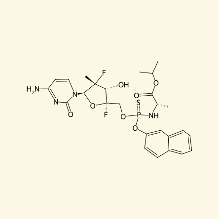 CC(C)OC(=O)[C@H](C)NP(=S)(OC[C@@]1(F)O[C@@H](n2ccc(N)nc2=O)[C@](C)(F)[C@@H]1O)Oc1ccc2ccccc2c1